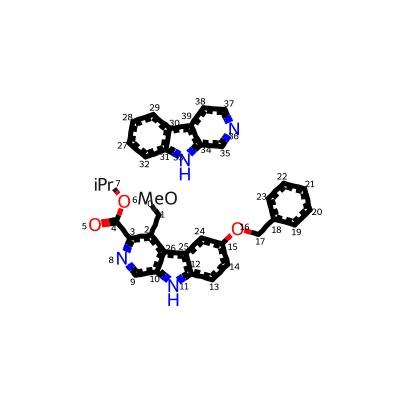 COCc1c(C(=O)OC(C)C)ncc2[nH]c3ccc(OCc4ccccc4)cc3c12.c1ccc2c(c1)[nH]c1cnccc12